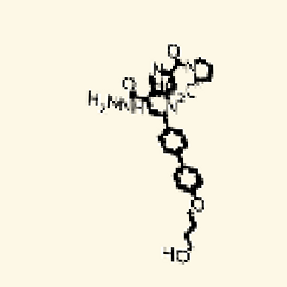 NNC(=O)c1cc(-c2ccc(-c3ccc(OCCCCO)cc3)cc2)nc2cc(C(=O)N3CCC[C@H]3C(=O)O)ncc12